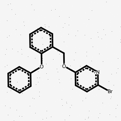 Brc1ccc(OCc2ccccc2Oc2ccccc2)cn1